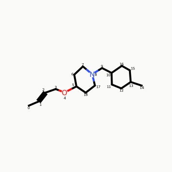 CC#CCOC1CCN(CC2CCC(C)CC2)CC1